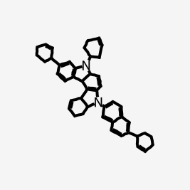 C1=CC(c2ccc3c(c2)N(C2CC=CCC2)C2C=CC4=C(C5C=CCCC5N4c4ccc5cc(C6C=CCCC6)ccc5c4)C32)CCC1